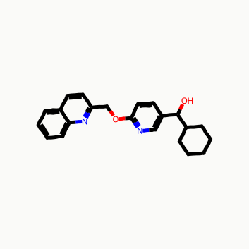 OC(c1ccc(OCc2ccc3ccccc3n2)nc1)C1CCCCC1